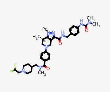 CC(C)n1nc(C(=O)NCc2ccc(NC(=O)N(C)C)cc2)c2c1[C@@H](C)CN(c1ccc(C(=O)N(C)CC3CCN(CC(F)F)CC3)cc1)C2